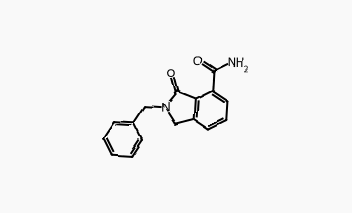 NC(=O)c1cccc2c1C(=O)N(Cc1ccccc1)C2